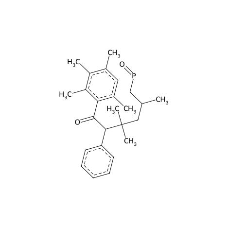 Cc1cc(C)c(C(=O)C(c2ccccc2)C(C)(C)CC(C)CP=O)c(C)c1C